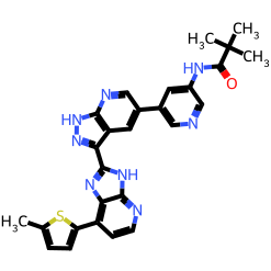 Cc1ccc(-c2ccnc3[nH]c(-c4n[nH]c5ncc(-c6cncc(NC(=O)C(C)(C)C)c6)cc45)nc23)s1